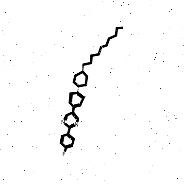 CCCCCCCCCC[C@H]1CC[C@H](c2ccc(-c3cnc(-c4ccc(F)cc4)nc3)cc2)CC1